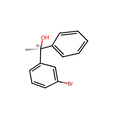 C[C@](O)(c1ccccc1)c1cccc(Br)c1